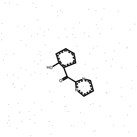 O=C(c1ncccn1)c1ccccc1O